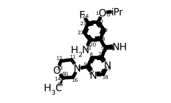 CC(C)Oc1cc(C(=N)c2cc(N3CCO[C@H](C)C3)ncn2)c(N)cc1F